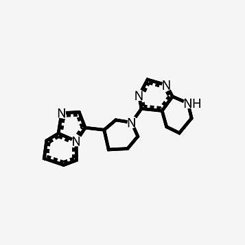 c1ccn2c(C3CCCN(c4ncnc5c4CCCN5)C3)cnc2c1